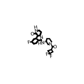 O=C(C1CC(F)(F)C1)N1CCC[C@@H](Nc2nc3cc[nH]c(=O)c3c3cc(F)ccc23)C1